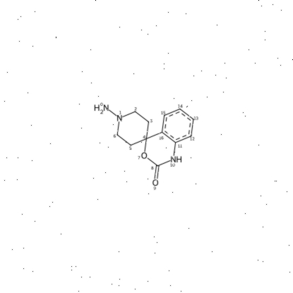 NN1CCC2(CC1)OC(=O)Nc1ccccc12